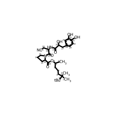 CC(CCCC(C)(C)C(C)(C)C)OC(=O)C1CCCN1C(=O)C(CC#N)NC(=O)C(O)Cc1ccc(O)c(O)c1